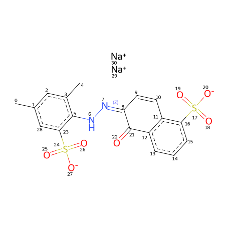 Cc1cc(C)c(N/N=C2/C=Cc3c(cccc3S(=O)(=O)[O-])C2=O)c(S(=O)(=O)[O-])c1.[Na+].[Na+]